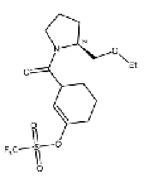 CCOC[C@@H]1CCCN1C(=O)C1C=C(OS(=O)(=O)C(F)(F)F)CCC1